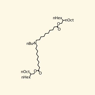 CCCCCCCCC(CCCCCC)COC(=O)CCCCCCCCCN(CCCC)CCCCCCCCCC(=O)OCC(CCCCCC)CCCCCCCC